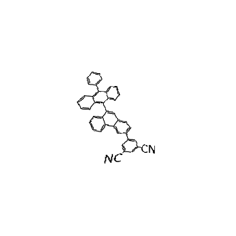 N#Cc1cc(C#N)cc(-c2ccc3cc(-c4c5ccccc5c(-c5ccccc5)c5ccccc45)c4ccccc4c3c2)c1